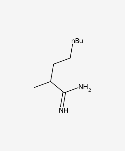 CCCCCCC(C)C(=N)N